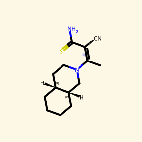 C/C(=C(\C#N)C(N)=S)N1CC[C@H]2CCCC[C@H]2C1